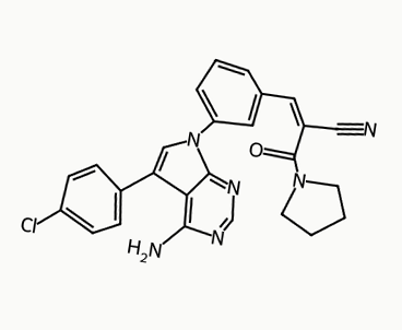 N#CC(=Cc1cccc(-n2cc(-c3ccc(Cl)cc3)c3c(N)ncnc32)c1)C(=O)N1CCCC1